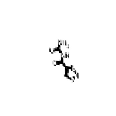 NC(=O)NC(=O)c1csnn1